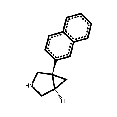 c1ccc2cc([C@]34CNC[C@@H]3C4)ccc2c1